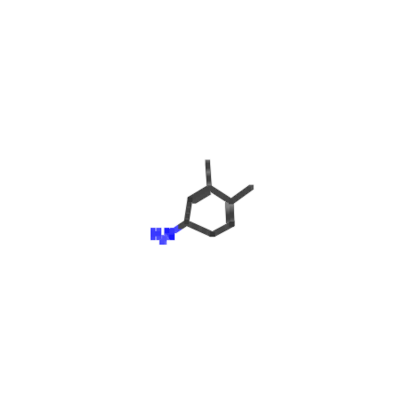 CC1=CCC(N)C=C1C